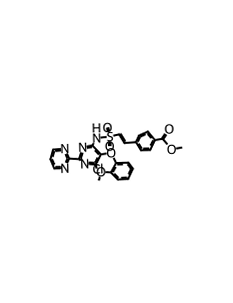 COC(=O)c1ccc(C=CS(=O)(=O)Nc2nc(-c3ncccn3)nc(Cl)c2Oc2ccccc2OC)cc1